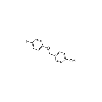 Oc1ccc(COc2ccc(I)cc2)cc1